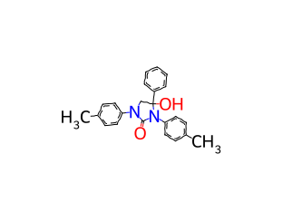 Cc1ccc(N2CC(O)(c3ccccc3)N(c3ccc(C)cc3)C2=O)cc1